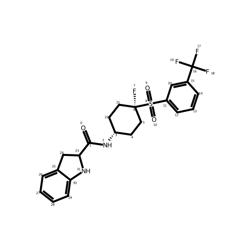 O=C(N[C@H]1CC[C@](F)(S(=O)(=O)c2cccc(C(F)(F)F)c2)CC1)C1Cc2ccccc2N1